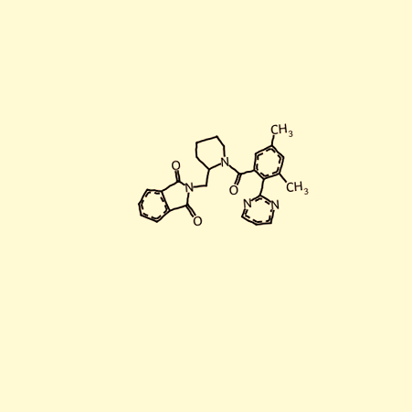 Cc1cc(C)c(-c2ncccn2)c(C(=O)N2CCCCC2CN2C(=O)c3ccccc3C2=O)c1